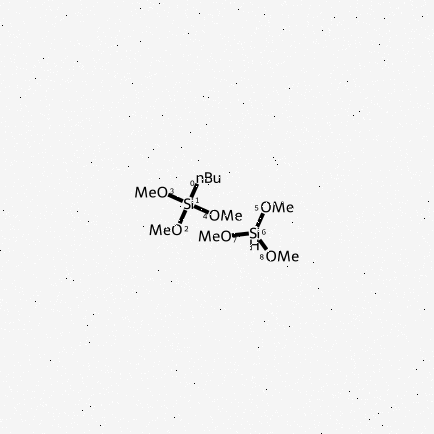 CCCC[Si](OC)(OC)OC.CO[SiH](OC)OC